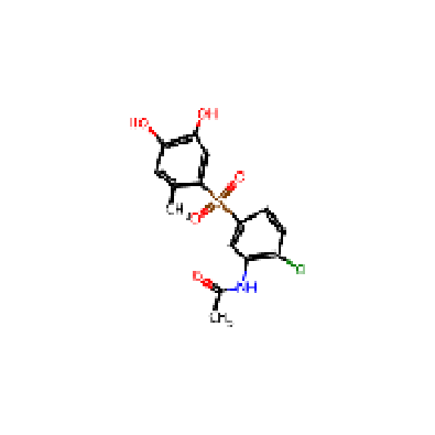 CC(=O)Nc1cc(S(=O)(=O)c2cc(O)c(O)cc2C)ccc1Cl